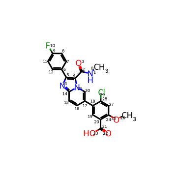 CNC(=O)c1c(-c2ccc(F)cc2)nc2ccc(-c3cc(C(=O)O)c(OC)cc3Cl)cn12